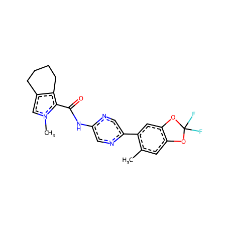 Cc1cc2c(cc1-c1cnc(NC(=O)c3c4c(cn3C)CCCC4)cn1)OC(F)(F)O2